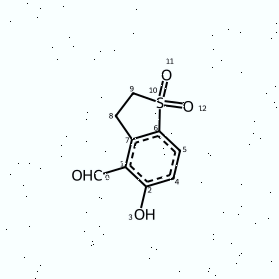 O=Cc1c(O)ccc2c1CCS2(=O)=O